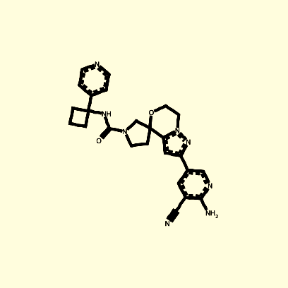 N#Cc1cc(-c2cc3n(n2)CCOC32CCN(C(=O)NC3(c4ccncc4)CCC3)C2)cnc1N